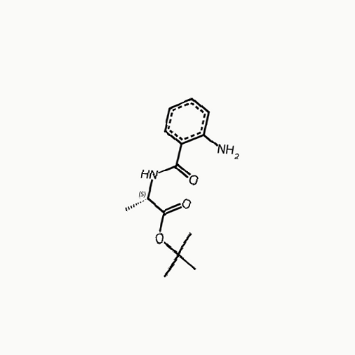 C[C@H](NC(=O)c1ccccc1N)C(=O)OC(C)(C)C